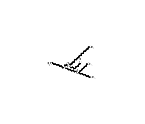 C=CCCCCCCCN(CCCCCCCC(=O)OC(CCCCCCCC)CCCCCCCC)CC(C)CN(CCCCCCCC=O)CCCCCCCC(=O)CCCCCCCCCC